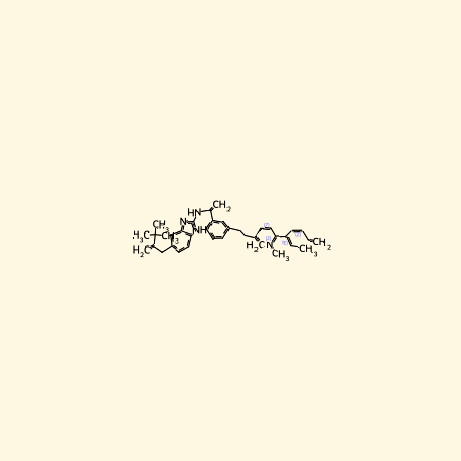 C=C\C=C/C(=C\C)C(/C=C\C(=C)CCc1cccc(C(=C)Nc2nc3cc(CC(=C)C(C)(C)C)ccc3[nH]2)c1)=N\C